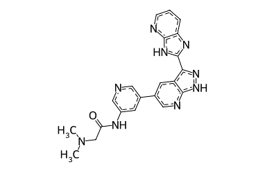 CN(C)CC(=O)Nc1cncc(-c2cnc3[nH]nc(-c4nc5cccnc5[nH]4)c3c2)c1